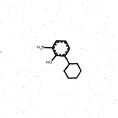 Nc1cccc(C2CCCCC2)c1O